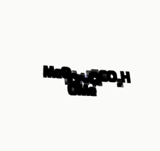 COc1cc(/C=C/c2ccc(C(=O)O)cc2)cc(OC)c1